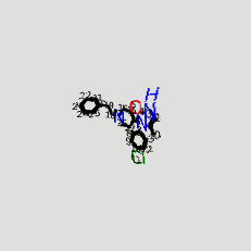 CC1=CNC(=O)[N+]1(c1ccc(Cl)cc1)C1CCN(CCc2ccccc2)CC1